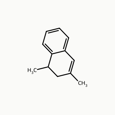 CC1=Cc2ccccc2C(C)C1